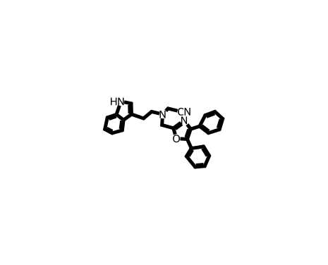 N#CCN(CCc1c[nH]c2ccccc12)Cc1nc(-c2ccccc2)c(-c2ccccc2)o1